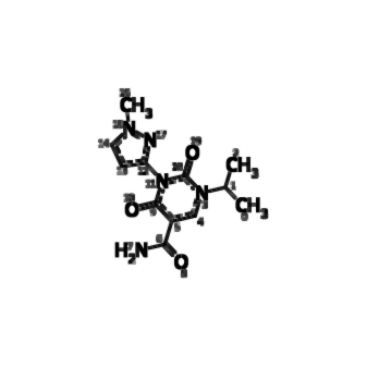 CC(C)n1cc(C(N)=O)c(=O)n(-c2ccn(C)n2)c1=O